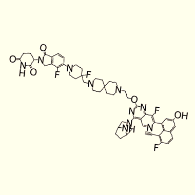 C#Cc1c(F)ccc2cc(O)cc(-c3ncc4c(N5CC6CCC(C5)N6)nc(OCCN5CCC6(CC5)CCN(CC5(F)CCN(c7ccc8c(c7F)CN(C7CCC(=O)NC7=O)C8=O)CC5)CC6)nc4c3F)c12